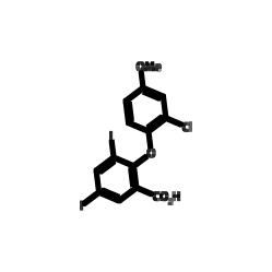 COc1ccc(Oc2c(I)cc(I)cc2C(=O)O)c(Cl)c1